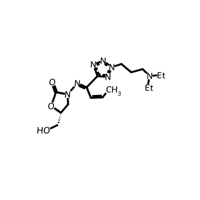 C/C=C\C(=N/N1C[C@H](CO)OC1=O)c1nnn(CCCN(CC)CC)n1